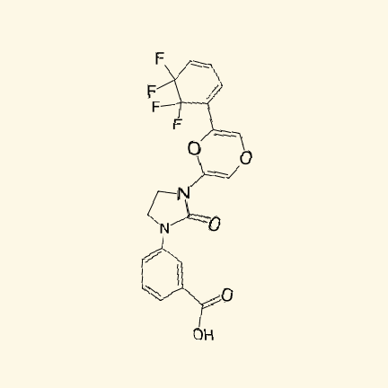 O=C(O)c1cccc(N2CCN(C3=COC=C(C4=CC=CC(F)(F)C4(F)F)O3)C2=O)c1